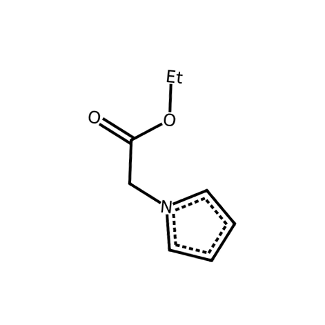 CCOC(=O)Cn1cccc1